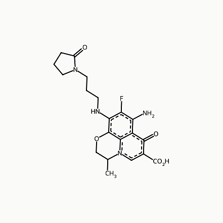 CC1COc2c(NCCCN3CCCC3=O)c(F)c(N)c3c(=O)c(C(=O)O)cn1c23